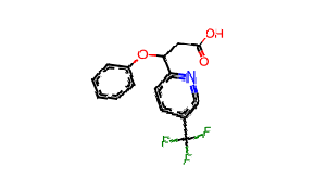 O=C(O)CC(Oc1ccccc1)c1ccc(C(F)(F)F)cn1